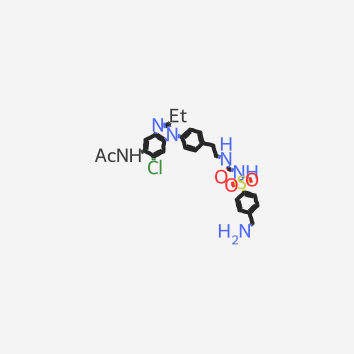 CCc1nc2cc(NC(C)=O)c(Cl)cc2n1-c1ccc(CCNC(=O)NS(=O)(=O)c2ccc(CN)cc2)cc1